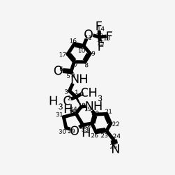 CC(C)(CNC(=O)c1ccc(OC(F)(F)F)cc1)[C@H]1Nc2ccc(C#N)cc2[C@H]2OCC[C@H]21